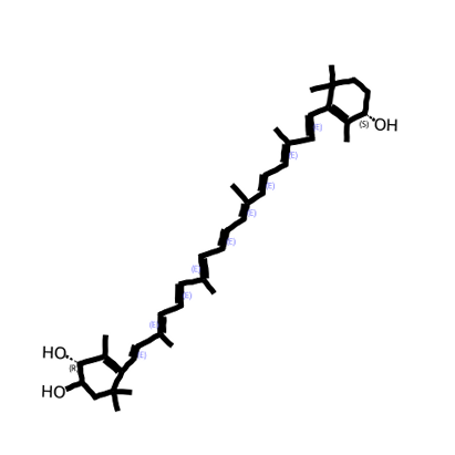 CC1=C(/C=C/C(C)=C/C=C/C(C)=C/C=C/C=C(C)/C=C/C=C(C)/C=C/C2=C(C)[C@@H](O)CCC2(C)C)C(C)(C)CC(O)[C@@H]1O